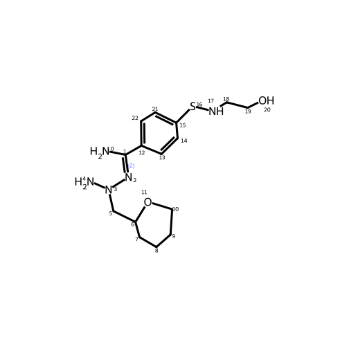 N/C(=N\N(N)CC1CCCCO1)c1ccc(SNCCO)cc1